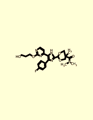 CN(C)C(=O)C1(C)COC(c2nc(-c3ccc(F)cc3)c(-c3ccnc(OCCCO)n3)[nH]2)OC1